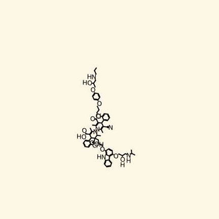 CCCNCC(O)COc1ccc(OCCCOC(=O)C2=C(C)N(N3C(C)=C(C(=O)O)C(c4ccccc4Cl)C(CCCOc4ccc(OCC(O)CNC(C)C)c5c4[nH]c4ccccc45)(C(=O)O)C3C)C(C)=C(C#N)C2c2ccccc2Cl)cc1